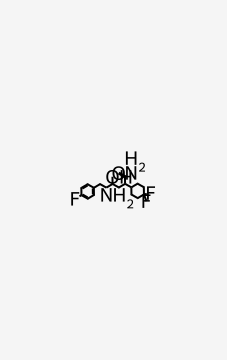 NC(=O)C(CC(O)C(N)Cc1ccc(F)cc1)C1CCC(F)(F)CC1